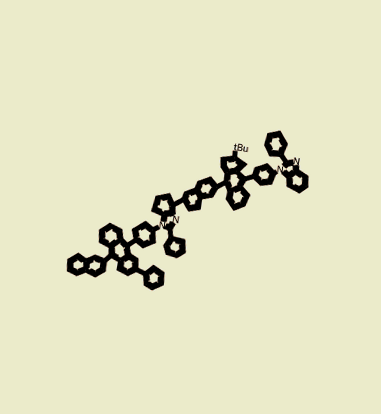 CC(C)(C)c1ccc2c(-c3ccc4cc(-c5cccc6c5nc(-c5ccccc5)n6-c5ccc(-c6c7ccccc7c(-c7ccc8ccccc8c7)c7ccc(-c8ccccc8)cc67)cc5)ccc4c3)c3ccccc3c(-c3ccc(-n4c(-c5ccccc5)nc5ccccc54)cc3)c2c1